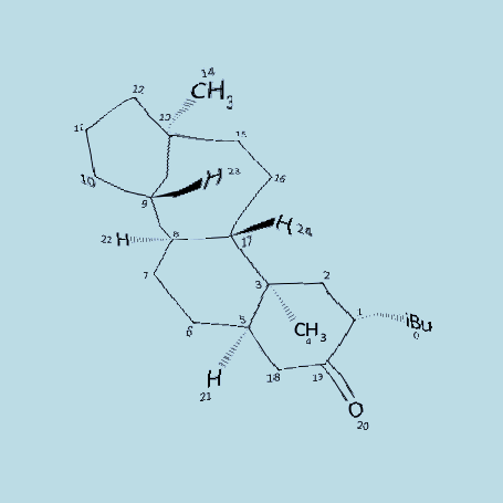 CCC(C)[C@H]1C[C@@]2(C)[C@H](CC[C@H]3[C@@H]4CCC[C@@]4(C)CC[C@@H]32)CC1=O